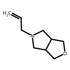 C=CCN1CC2COCC2C1